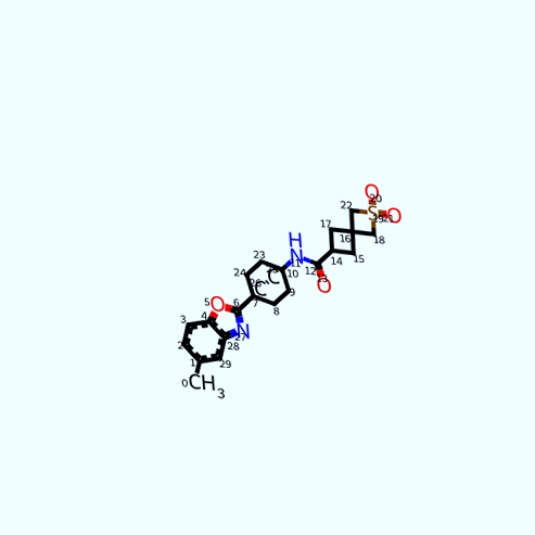 Cc1ccc2oc(C34CCC(NC(=O)C5CC6(C5)CS(=O)(=O)C6)(CC3)CC4)nc2c1